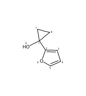 OC1(c2ccco2)CC1